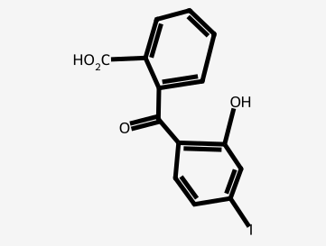 O=C(O)c1ccccc1C(=O)c1ccc(I)cc1O